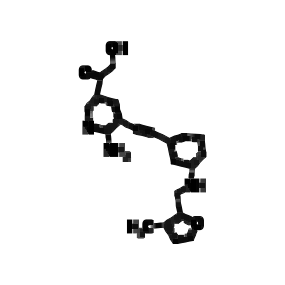 Cc1ccoc1CNc1cccc(C#Cc2cc(C(=O)CO)cnc2N)c1